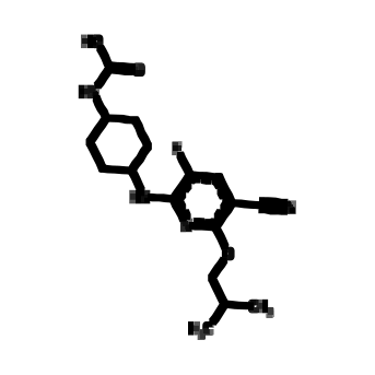 CC(C)COc1nc(NC2CCC(NC(=O)O)CC2)c(F)cc1C#N